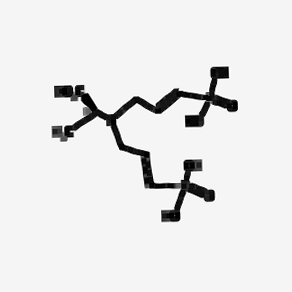 C[C@@H](C(=O)O)N(CC=CP(=O)(O)O)CC=CP(=O)(O)O